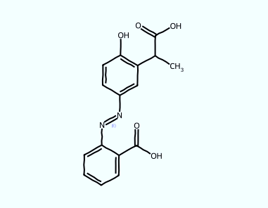 CC(C(=O)O)c1cc(/N=N/c2ccccc2C(=O)O)ccc1O